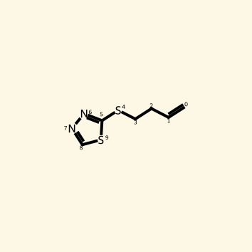 C=CCCSc1nncs1